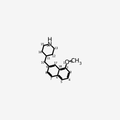 COc1cccc2ccc(CC3CCNCC3)cc12